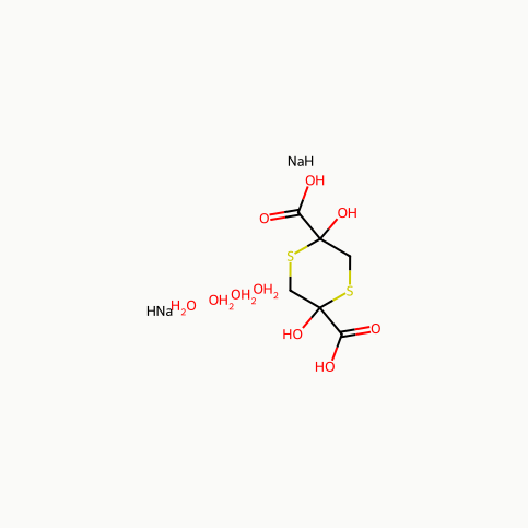 O.O.O.O.O=C(O)C1(O)CSC(O)(C(=O)O)CS1.[NaH].[NaH]